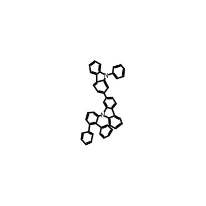 c1ccc(-c2cccc(-n3c4ccccc4c4ccc(-c5ccc6c7ccccc7n(-c7ccccc7)c6c5)cc43)c2-c2ccccc2)cc1